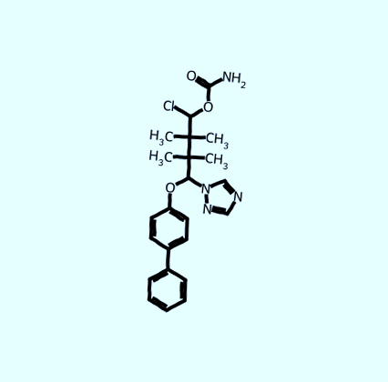 CC(C)(C(Cl)OC(N)=O)C(C)(C)C(Oc1ccc(-c2ccccc2)cc1)n1cncn1